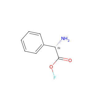 N[C@H](C(=O)OF)c1ccccc1